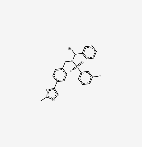 CCC(c1ccccc1)N(Cc1ccc(-c2nnc(C)o2)cc1)S(=O)(=O)c1cccc(Cl)c1